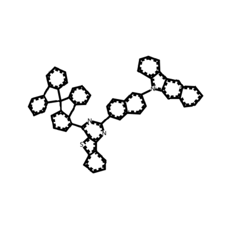 c1ccc2c(c1)-c1ccccc1C21c2ccccc2-c2c(-c3nc(-c4ccc5cc(-n6c7ccccc7c7cc8ccccc8cc76)ccc5c4)nc4c3sc3ccccc34)cccc21